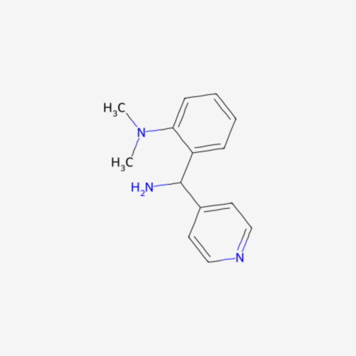 CN(C)c1ccccc1C(N)c1ccncc1